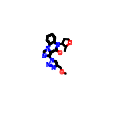 COCc1cn(-c2ncn3c2c(=O)n(C2CCOC2C)c2ccccc23)nn1